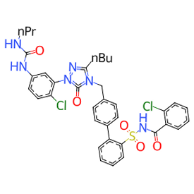 CCCCc1nn(-c2cc(NC(=O)NCCC)ccc2Cl)c(=O)n1Cc1ccc(-c2ccccc2S(=O)(=O)NC(=O)c2ccccc2Cl)cc1